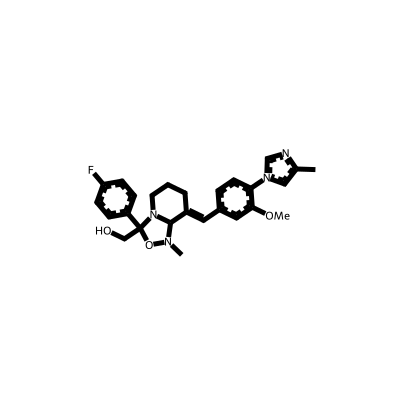 COc1cc(C=C2CCCN3C2N(C)OC3(CO)c2ccc(F)cc2)ccc1-n1cnc(C)c1